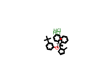 Cl.Cl.[CH2]=[Ti]([O]c1cccc(C(C)(C)C)c1)([C]1=C(C)C=CC1)([c]1ccccc1)[c]1ccccc1